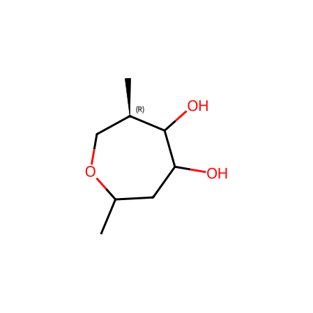 CC1CC(O)C(O)[C@H](C)CO1